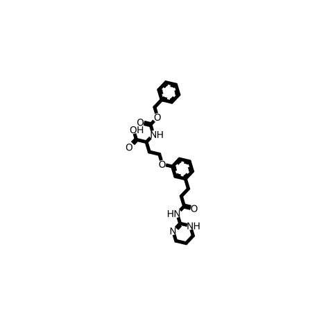 O=C(CCc1cccc(OCCC(NC(=O)OCc2ccccc2)C(=O)O)c1)NC1=NCCCN1